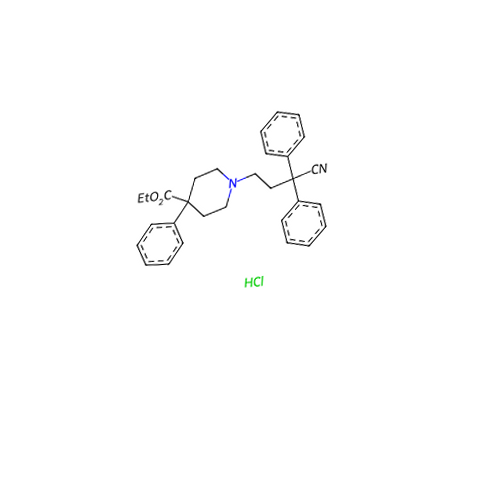 CCOC(=O)C1(c2ccccc2)CCN(CCC(C#N)(c2ccccc2)c2ccccc2)CC1.Cl